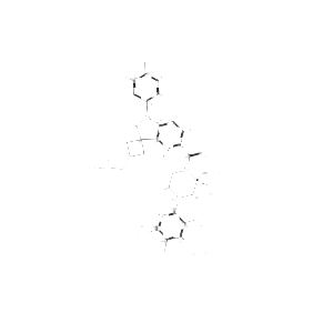 COCC1CC2(C1)CN(c1ccc(Cl)c(F)c1)c1ccc(C(=O)N3CCN(c4nc(C)c(C(=O)O)c(C)c4C)CC3(C)C)nc12